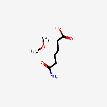 COC.NC(=O)CCCCC(=O)O